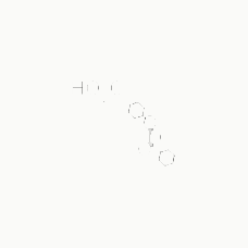 CC(C)(Cc1ccc(OCOC(=O)c2ccccc2)cc1)C(=O)O